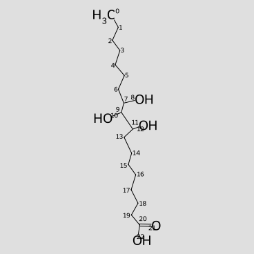 CCCCCCCC(O)C(O)C(O)CCCCCCCC(=O)O